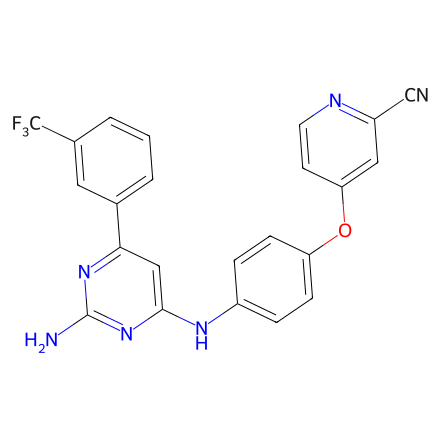 N#Cc1cc(Oc2ccc(Nc3cc(-c4cccc(C(F)(F)F)c4)nc(N)n3)cc2)ccn1